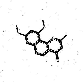 COc1cc(OC)c2c(ccc3c(=O)cc(C)oc32)c1